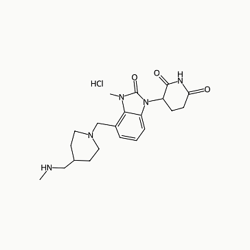 CNCC1CCN(Cc2cccc3c2n(C)c(=O)n3C2CCC(=O)NC2=O)CC1.Cl